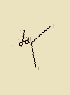 CCCCCCCCCCCCC=CC(=C=[N+]=[N-])C(CCCCCC)=C(c1ccc(CCCC)cc1)c1ccc(CCCCCCCC)cc1.CCCCCCCCCCCCCCCCCCCCCCCC[CH2][Ni][CH2]CCCCCCCCCCCCCCCCCCCCCCCC